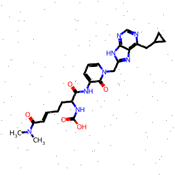 CN(C)C(=O)C=CCCC(NC(=O)O)C(=O)Nc1cccn(Cc2nc3c(CC4CC4)ncnc3[nH]2)c1=O